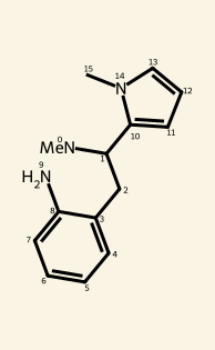 CNC(Cc1ccccc1N)c1cccn1C